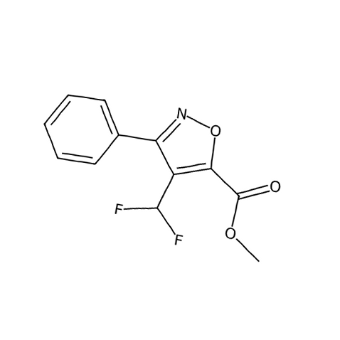 COC(=O)c1onc(-c2ccccc2)c1C(F)F